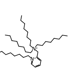 CCCCCCCC[n+]1ccccc1C[N+](CCCCCCCC)(CCCCCCCC)CCCCCCCC